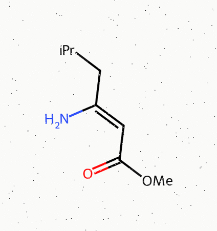 COC(=O)C=C(N)CC(C)C